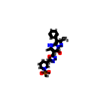 Cc1[nH]c2c(-c3ccccc3)c(C(F)(F)F)nn2c(=O)c1-c1nnc(C2CCCN(S(C)(=O)=O)C2)o1